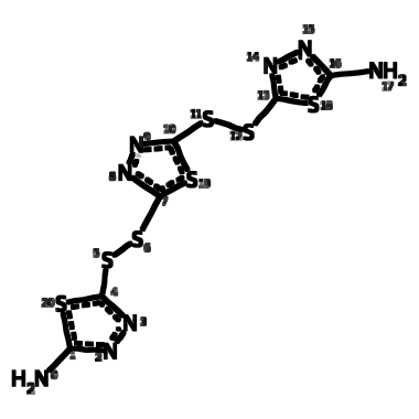 Nc1nnc(SSc2nnc(SSc3nnc(N)s3)s2)s1